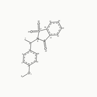 COc1ccc(C(C)N2C(=O)c3ccccc3S2(=O)=O)cc1